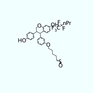 CCCC(F)(F)C(F)(F)F.O=S=CCCCCOc1cccc(C2c3ccc(O)cc3OCC2c2ccc(O)cc2)c1